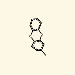 Ic1ccc2c(c1)Oc1ccccc1O2